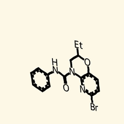 CCC1CN(C(=O)Nc2ccccc2)c2nc(Br)ccc2O1